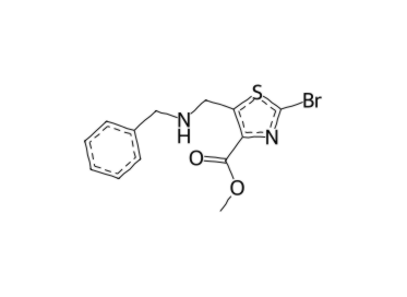 COC(=O)c1nc(Br)sc1CNCc1ccccc1